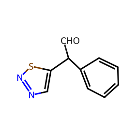 O=CC(c1ccccc1)c1cnns1